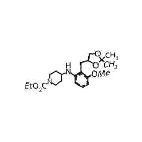 CCOC(=O)N1CCC(Nc2cccc(OC)c2CC2COC(C)(C)O2)CC1